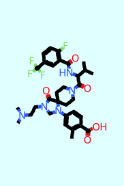 Cc1cc(N2CN(CCN(C)C)C(=O)C23CCN(C(=O)C(NC(=O)c2cc(C(F)(F)F)ccc2F)C(C)C)CC3)ccc1C(=O)O